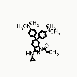 C=CC(=O)n1nc(NC2CC2)c2c1CC(c1ccc(N(C)C)cc1)(c1ccc(N(C)C)cc1)C=C2